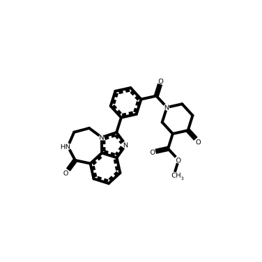 COC(=O)C1CN(C(=O)c2cccc(-c3nc4cccc5c4n3CCNC5=O)c2)CCC1=O